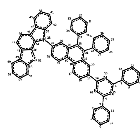 c1ccc(-c2nc(-c3ccccc3)nc(-c3ccc4c(c3)c(-c3ccccc3)c(-c3ccccc3)c3cc(-n5c6ccccc6c6ccc7c8ccccc8sc7c65)ccc34)n2)cc1